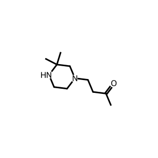 CC(=O)CCN1CCNC(C)(C)C1